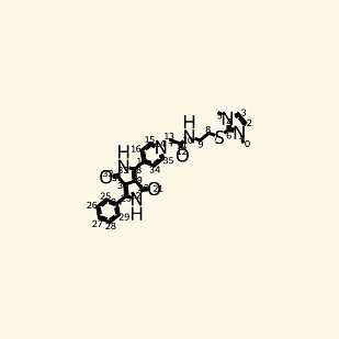 Cn1cc[n+](C)c1SCCNC(=O)C[n+]1ccc(C2=C3C(=O)NC(c4ccccc4)=C3C(=O)N2)cc1